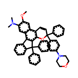 COc1cc2c3c(c4c(c2cc1N(C)C)-c1ccccc1C4(c1ccccc1)c1ccccc1)OC(c1ccccc1)(c1ccc(N2CCOCC2)cc1)C=C3